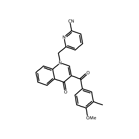 COc1ccc(C(=O)c2cn(Cc3cccc(C#N)n3)c3ccccc3c2=O)cc1C